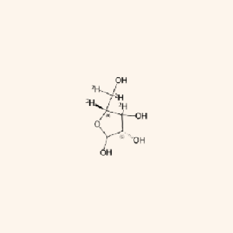 [2H]C([2H])(O)[C@@]1([2H])OC(O)[C@@H](O)C1([2H])O